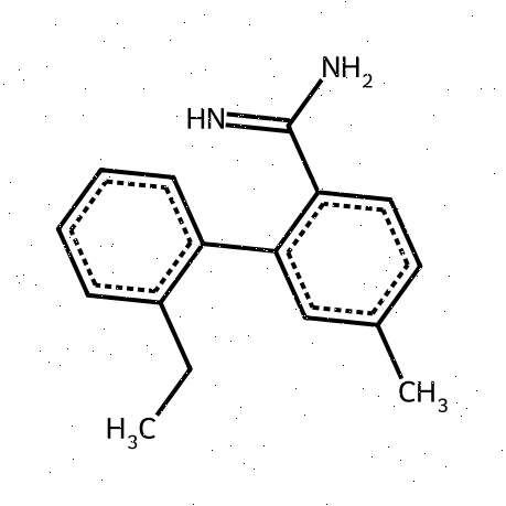 CCc1ccccc1-c1cc(C)ccc1C(=N)N